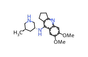 COc1cc2nc3c(c(N[C@H]4CNC[C@H](C)C4)c2cc1OC)CCC3